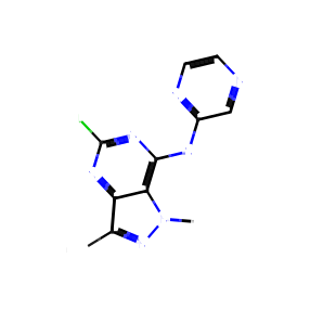 CCCc1nn(C)c2c(Nc3cnccn3)nc(Cl)nc12